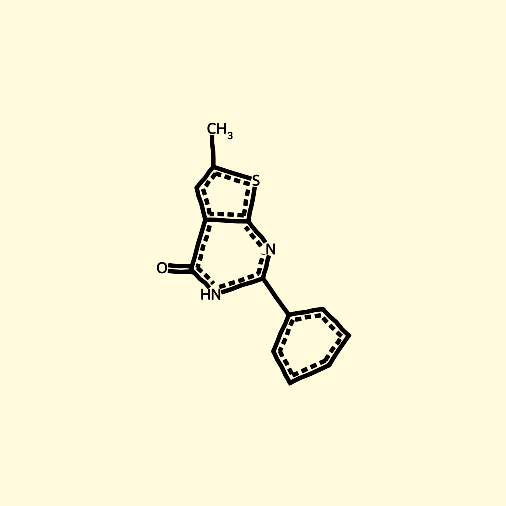 Cc1cc2c(=O)[nH]c(-c3ccccc3)nc2s1